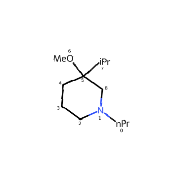 CCCN1CCCC(OC)(C(C)C)C1